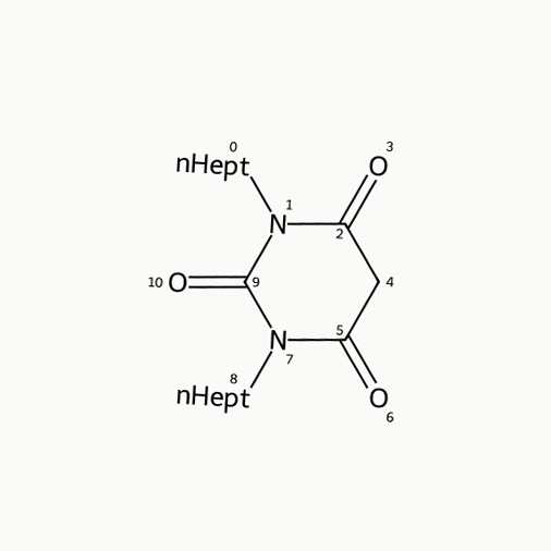 CCCCCCCN1C(=O)CC(=O)N(CCCCCCC)C1=O